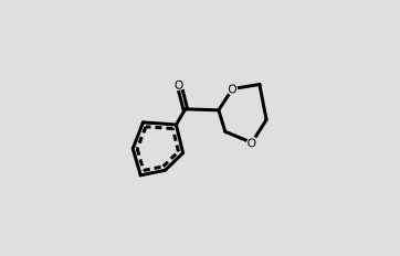 O=C(c1ccccc1)C1COCCO1